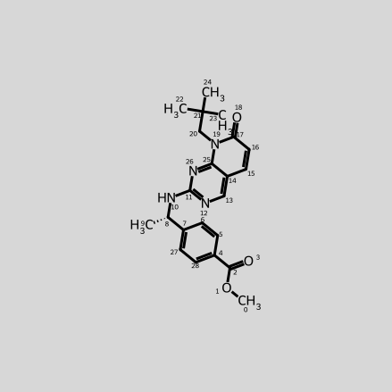 COC(=O)c1ccc([C@H](C)Nc2ncc3ccc(=O)n(CC(C)(C)C)c3n2)cc1